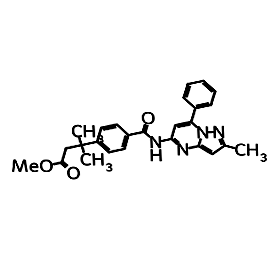 COC(=O)CC(C)(C)c1ccc(C(=O)Nc2cc(-c3ccccc3)n3nc(C)cc3n2)cc1